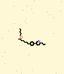 C=CCc1ccc(-c2ccc(C=CCCCC(C)OCCCCC)cc2)cn1